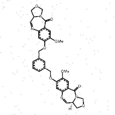 COc1cc2c(cc1OCc1cccc(COc3cc4c(cc3OC)C(=O)N3COC[C@H]3C=N4)c1)N=CC1COCN1C2=O